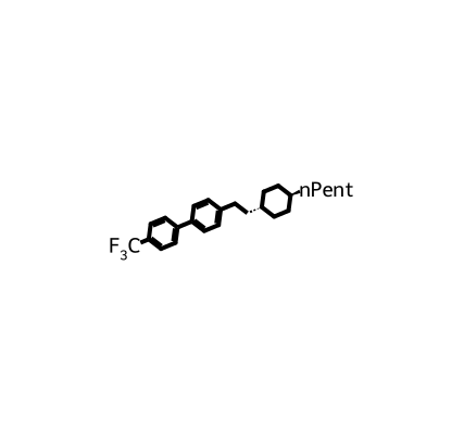 CCCCC[C@H]1CC[C@H](CCc2ccc(-c3ccc(C(F)(F)F)cc3)cc2)CC1